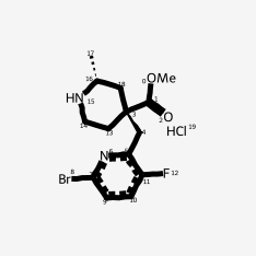 COC(=O)[C@]1(Cc2nc(Br)ccc2F)CCN[C@H](C)C1.Cl